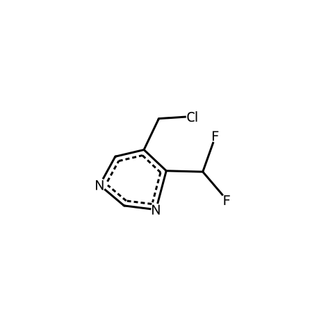 FC(F)c1ncncc1CCl